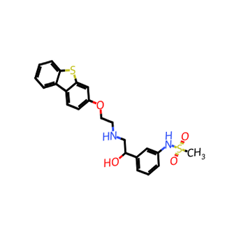 CS(=O)(=O)Nc1cccc(C(O)CNCCOc2ccc3c(c2)sc2ccccc23)c1